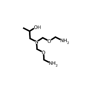 CC(O)CN(COCN)COCN